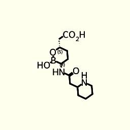 O=C(O)C[C@@H]1CC[C@H](NC(=O)CC2CCCCN2)B(O)O1